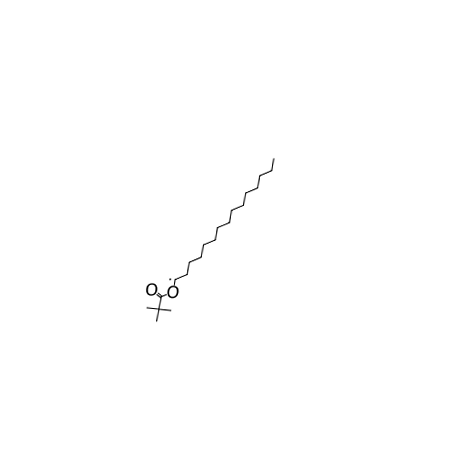 CCCCCCCCCCCCCC[CH]OC(=O)C(C)(C)C